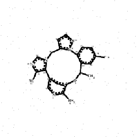 CC1Oc2cc(cnc2N)-c2c(C#N)ncn2Cc2ccnn2-c2ccc(F)cc21